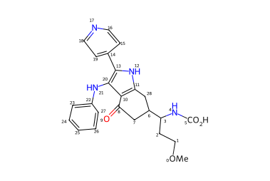 COCCC(NC(=O)O)C1CC(=O)c2c([nH]c(-c3ccncc3)c2Nc2ccccc2)C1